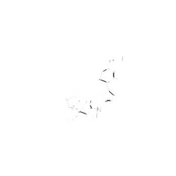 COc1ccc(-c2ccc(NC(=O)C=C(C)N3CCCC3)s2)cc1